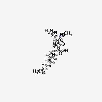 CO/N=C(\C(=O)N[C@@H]1C(=O)N2C(C(=O)O)=C(CN3C=CN4NC(SCCNC(C)=O)=CC=C34)CS[C@@H]12)c1csc(N)n1